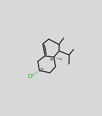 CC(C)C1C(C)CC=C2C[C@@H](Cl)CC[C@@]21C